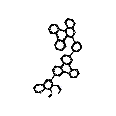 C=Nc1c(/C=C\C)c(-c2ccc3c4ccc(-c5cccc(-c6nc7ccccc7c7c8ccccc8c8ccccc8c67)c5)cc4c4ccccc4c3c2)cc2cccnc12